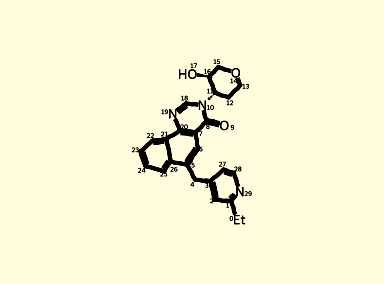 CCc1cc(Cc2cc3c(=O)n([C@H]4CCOC[C@@H]4O)cnc3c3ccccc23)ccn1